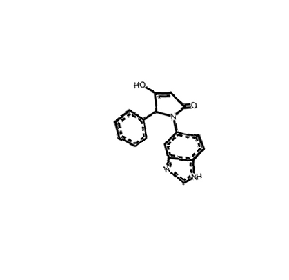 O=C1C=C(O)C(c2ccccc2)N1c1ccc2[nH]cnc2c1